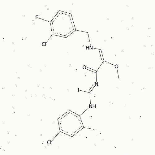 CO/C(=C/NCc1ccc(F)c(Cl)c1)C(=O)/N=C(\I)Nc1ccc(Cl)cc1C